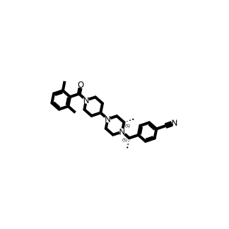 Cc1cccc(C)c1C(=O)N1CCC(N2CCN([C@@H](C)c3ccc(C#N)cc3)[C@@H](C)C2)CC1